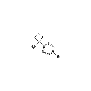 NC1(c2ncc(Br)cn2)CCC1